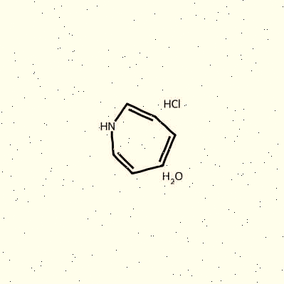 C1=CC=CNC=C1.Cl.O